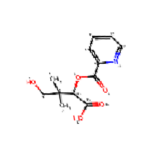 CC(C)(CO)[C@@H](OC(=O)c1ccccn1)C(=O)O